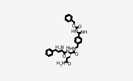 N=C(NC(=O)OCc1ccccc1)c1ccc(CNC(=O)[C@H](CCC(N)=O)NC(=O)[C@H](N)CCc2ccccc2)cc1